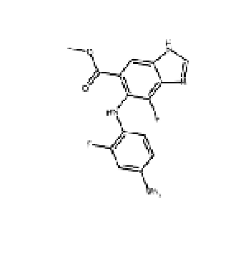 Bc1ccc(Nc2c(C(=O)OC)cc3[nH]cnc3c2F)c(F)c1